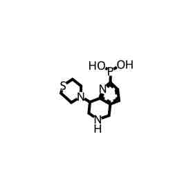 OP(O)c1ccc2c(n1)C(N1CCSCC1)CNC2